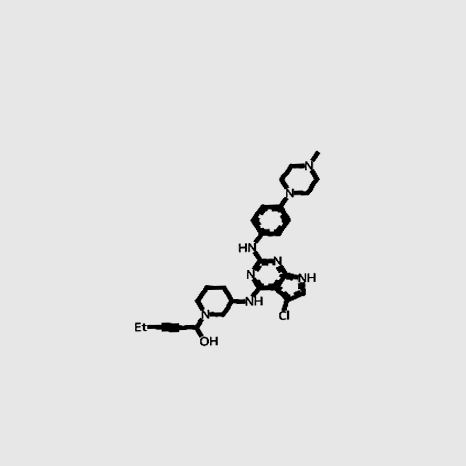 CCC#CC(O)N1CCCC(Nc2nc(Nc3ccc(N4CCN(C)CC4)cc3)nc3[nH]cc(Cl)c23)C1